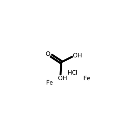 Cl.O=C(O)O.[Fe].[Fe]